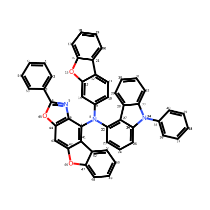 c1ccc(-c2nc3c(N(c4ccc5c(c4)oc4ccccc45)c4cccc5c4c4ccccc4n5-c4ccccc4)c4c(cc3o2)oc2ccccc24)cc1